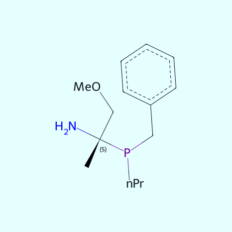 CCCP(Cc1ccccc1)[C@](C)(N)COC